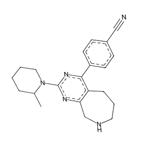 CC1CCCCN1c1nc2c(c(-c3ccc(C#N)cc3)n1)CCCNC2